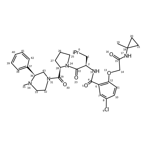 CC(C)C[C@@H](NC(=O)c1cc(Cl)ccc1OCC(=O)NC1(C)CC1)C(=O)N1CCC[C@@H]1C(=O)N1CCN(C)[C@@H](c2ccccc2)C1